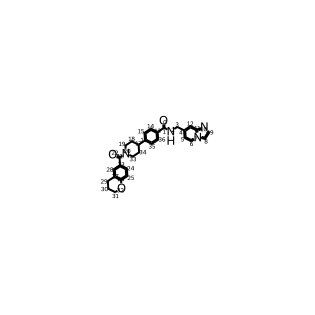 O=C(NCc1ccn2ccnc2c1)c1ccc(C2CCN(C(=O)c3ccc4c(c3)CCCO4)CC2)cc1